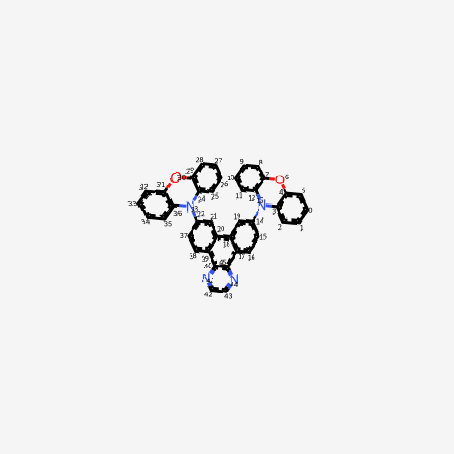 c1ccc2c(c1)Oc1ccccc1N2c1ccc2c(c1)c1cc(N3c4ccccc4Oc4ccccc43)ccc1c1nccnc21